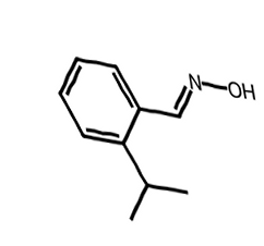 CC(C)c1ccccc1C=NO